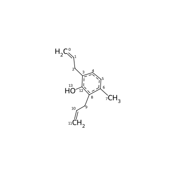 C=CCc1ccc(C)c(CC=C)c1O